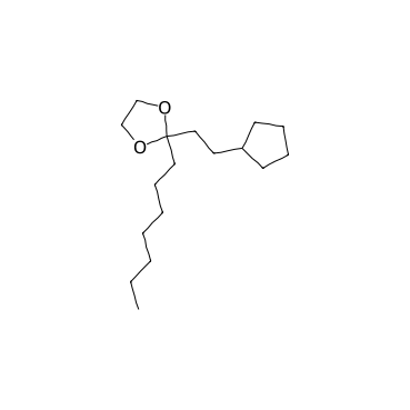 CCCCCCCC1(CCC2CCCC2)OCCO1